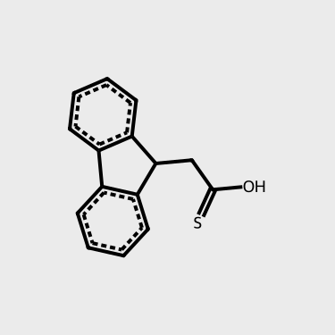 OC(=S)CC1c2ccccc2-c2ccccc21